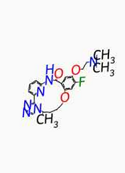 CC1CCCOc2cc(F)c(OCCN(C)C)cc2C(=O)Nc2cccc(n2)-c2nncn21